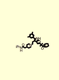 Cc1cc(C)cc(-c2[nH]c3sc(C(C)(C)C(=O)N4C5CCC4CC5)cc3c2CCN2CCC(CC(=O)NC(C)C)CC2)c1